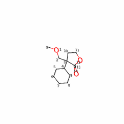 COCC1(C2CCCCC2)CCOC1=O